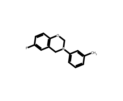 Cc1cccc(N2COc3ccc(F)cc3C2)c1